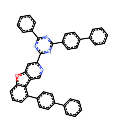 c1ccc(-c2ccc(-c3nc(-c4ccccc4)nc(-c4cc5oc6cccc(-c7ccc(-c8ccccc8)cc7)c6c5cn4)n3)cc2)cc1